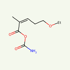 CCOCCC=C(C)C(=O)OC(N)=O